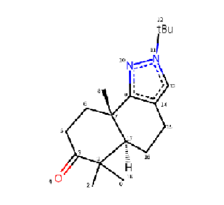 CC1(C)C(=O)CC[C@]2(C)c3nn(C(C)(C)C)cc3CC[C@@H]12